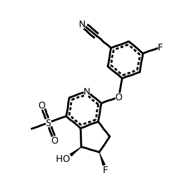 CS(=O)(=O)c1cnc(Oc2cc(F)cc(C#N)c2)c2c1[C@H](O)[C@H](F)C2